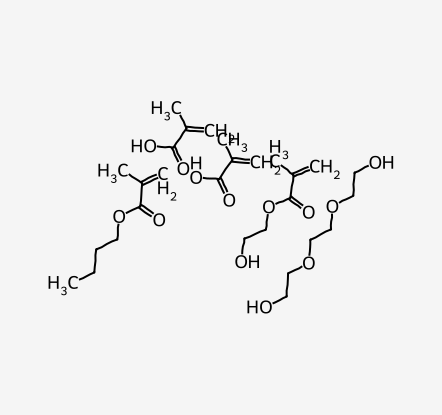 C=C(C)C(=O)O.C=C(C)C(=O)O.C=C(C)C(=O)OCCCC.C=C(C)C(=O)OCCO.OCCOCCOCCO